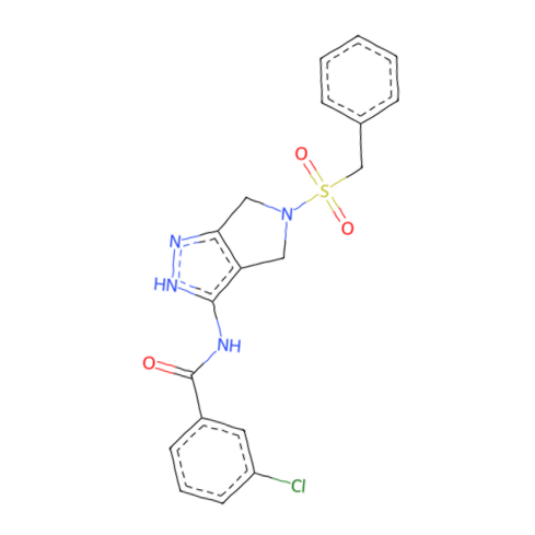 O=C(Nc1[nH]nc2c1CN(S(=O)(=O)Cc1ccccc1)C2)c1cccc(Cl)c1